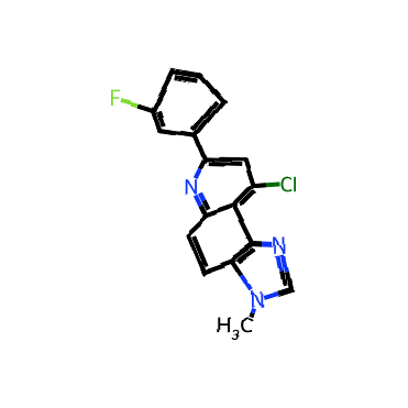 Cn1cnc2c3c(Cl)cc(-c4cccc(F)c4)nc3ccc21